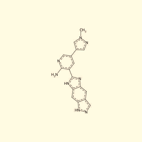 Cn1cc(-c2cnc(N)c(-c3nc4cc5cn[nH]c5cc4[nH]3)c2)cn1